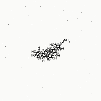 NCCCO[C@H]1OC(CO)[C@H](O[C@H]2OC(CO)[C@@H](O[C@@H]3OC(CO)[C@@H](O[C@@H]4OC(C(=O)O)[C@@H](O[C@H]5OC(CO)[C@H](O)[C@H](O)C5O)[C@H](O)C4O)[C@H](O)C3O)[C@H](O)C2O)[C@H](O)C1O